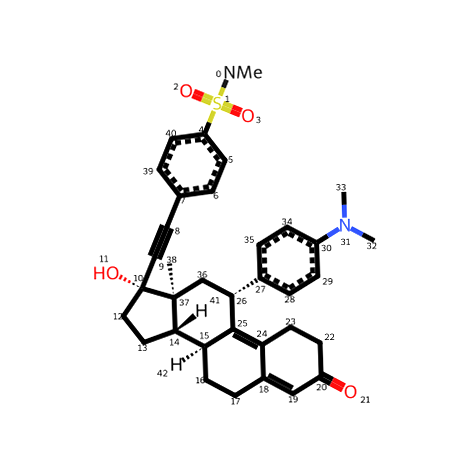 CNS(=O)(=O)c1ccc(C#C[C@]2(O)CC[C@H]3[C@@H]4CCC5=CC(=O)CCC5=C4[C@@H](c4ccc(N(C)C)cc4)C[C@@]32C)cc1